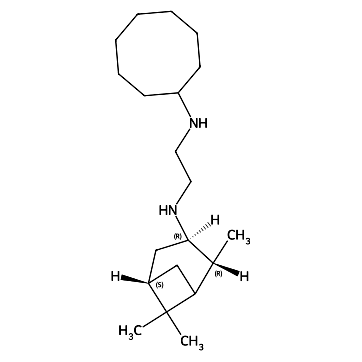 C[C@@H]1C2C[C@@H](C[C@H]1NCCNC1CCCCCCC1)C2(C)C